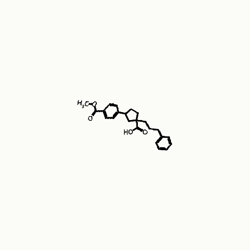 COC(=O)c1ccc(C2CCC(CCCc3ccccc3)(C(=O)O)C2)cc1